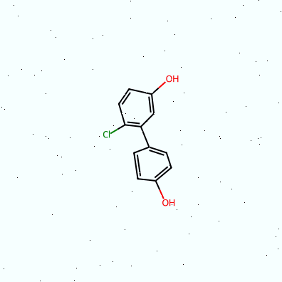 Oc1ccc(-c2cc(O)ccc2Cl)cc1